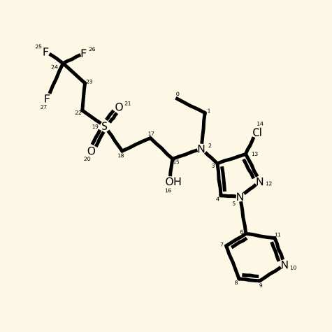 CCN(c1cn(-c2cccnc2)nc1Cl)C(O)CCS(=O)(=O)CCC(F)(F)F